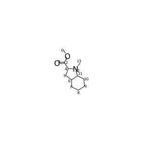 COC(=O)C1CC2CCCCC2N1C